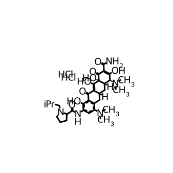 CC(C)CN1CCCC1C(=O)Nc1cc(N(C)C)c2c(c1O)C(=O)C1=C(O)[C@]3(O)C(=O)C(C(N)=O)=C(O)[C@@H](N(C)C)[C@@H]3C[C@@H]1C2.Cl.Cl